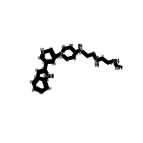 CC(C)NCCNCCNC1CCN(c2cncc(-c3cc4ccccc4[nH]3)c2)CC1